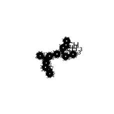 CC1(C)c2ccccc2-c2ccc(N(c3ccc(-c4ccc5c(c4)c4cc6c(ccc7c8ccccc8sc67)cc4n5-c4ccccc4)cc3)c3cccc(-c4ccccc4)c3)cc21